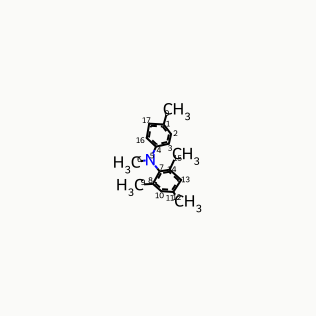 Cc1ccc(N(C)c2c(C)cc(C)cc2C)cc1